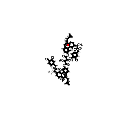 CN(C1CC[C@@]2(O)[C@H]3Cc4ccc(OC(=O)C(O)C(O)C(=O)Oc5ccc6c7c5OC5C(N(C)S(=O)(=O)Cc8ccc(Cl)c(Cl)c8)CC[C@@]8(O)[C@@H](C6)N(CC6CC6)CC[C@]758)c5c4[C@@]2(CCN3CC2CC2)C1O5)S(=O)(=O)Cc1ccc(Cl)c(Cl)c1